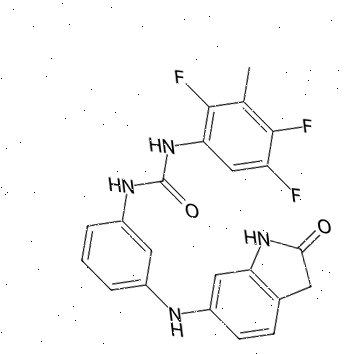 Cc1c(F)c(F)cc(NC(=O)Nc2cccc(Nc3ccc4c(c3)NC(=O)C4)c2)c1F